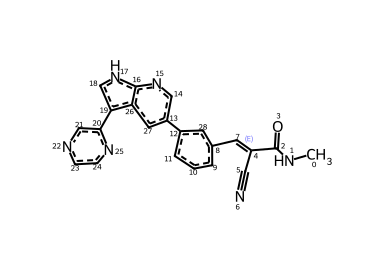 CNC(=O)/C(C#N)=C/c1cccc(-c2cnc3[nH]cc(-c4cnccn4)c3c2)c1